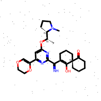 C[C@H](Oc1cc(C2=COCCO2)nc(C(=N)C2=C(O)[C@]3(CCCCC3=O)CCC2)n1)[C@@H]1CCCN1C